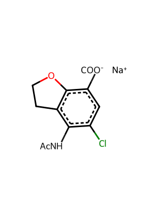 CC(=O)Nc1c(Cl)cc(C(=O)[O-])c2c1CCO2.[Na+]